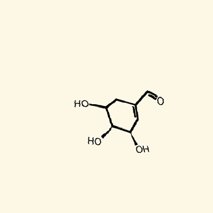 O=CC1=C[C@@H](O)[C@@H](O)C(O)C1